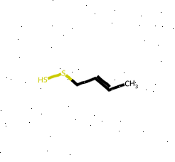 CC=CCSS